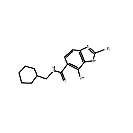 CC(C)c1c(C(=O)NCC2CCCCC2)ccc2nc(C(F)(F)F)[nH]c12